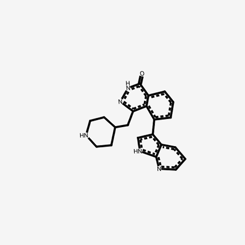 O=c1[nH]nc(CC2CCNCC2)c2c(-c3c[nH]c4ncccc34)cccc12